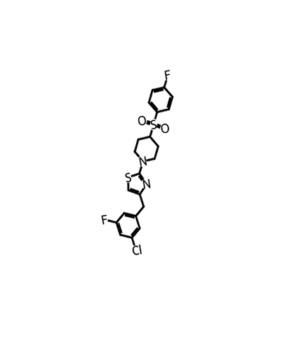 O=S(=O)(c1ccc(F)cc1)C1CCN(c2nc(Cc3cc(F)cc(Cl)c3)cs2)CC1